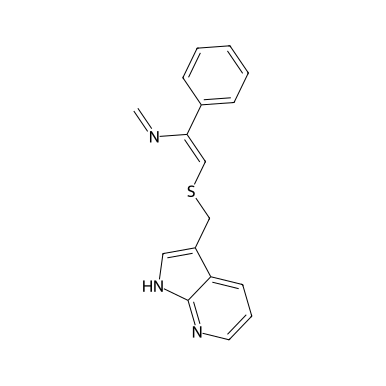 C=N/C(=C\SCc1c[nH]c2ncccc12)c1ccccc1